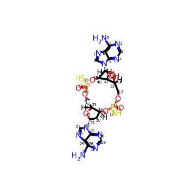 Nc1ncnc2c1ncn2[C@@H]1O[C@@H]2CO[P@@](=O)(S)O[C@H]3C[C@H](n4cnc5c(N)ncnc54)O[C@@H]3CO[P@@](=O)(S)O[C@@H]1[C@@H]2O